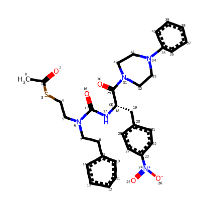 CC(=O)SCCN(CCc1ccccc1)C(=O)N[C@@H](Cc1ccc([N+](=O)[O-])cc1)C(=O)N1CCN(c2ccccc2)CC1